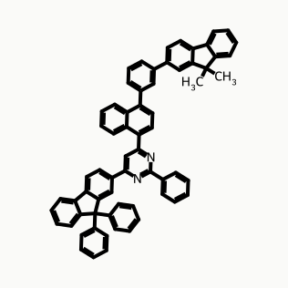 CC1(C)c2ccccc2-c2ccc(-c3cccc(-c4ccc(-c5cc(-c6ccc7c(c6)C(c6ccccc6)(c6ccccc6)c6ccccc6-7)nc(-c6ccccc6)n5)c5ccccc45)c3)cc21